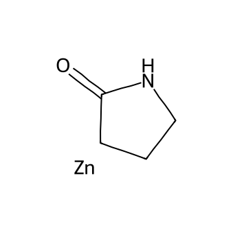 O=C1CCCN1.[Zn]